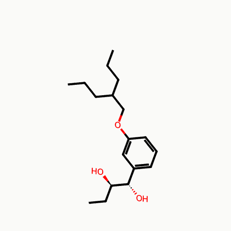 CCCC(CCC)COc1cccc([C@H](O)[C@H](O)CC)c1